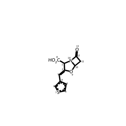 O=C(O)C1C(=Cc2ccsc2)OC2CC(=O)N21